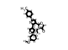 Cc1ccc(-n2cc(C3OCC(=O)N3CC[C@H]3C=CC(OI)=CC3)c(-c3ccoc3)n2)cc1